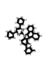 Cc1cccc2c1sc1c2ccc2c1c1c3ccccc3c3ccccc3c1n2-c1nc(-c2ccccc2)cc(-c2ccccc2)n1